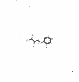 FC(F)C(F)COc1c[c]ccc1